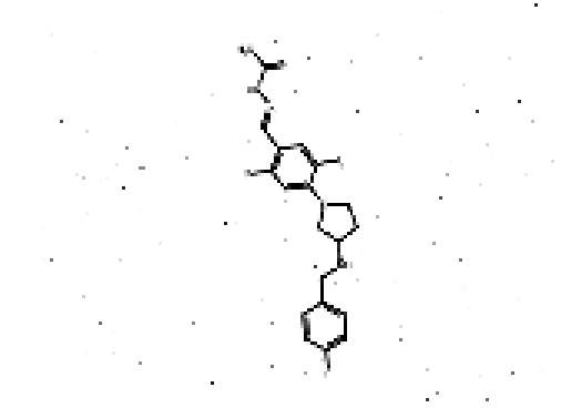 NC(=S)NN=Cc1cc(F)c(N2CC[C@@H](NCc3ccc(F)cc3)C2)cc1F